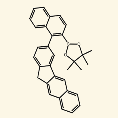 CC1(C)OB(c2ccc3ccccc3c2-c2ccc3sc4cc5ccccc5cc4c3c2)OC1(C)C